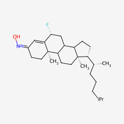 CC(C)CCC[C@@H](C)[C@H]1CCC2C3C[C@@H](F)C4=CC(=NO)CC[C@]4(C)C3CC[C@@]21C